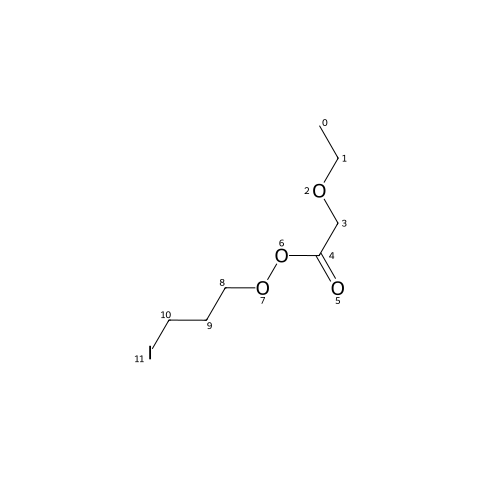 CCOCC(=O)OOCCCI